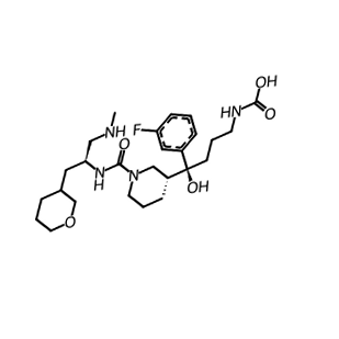 CNC[C@H](CC1CCCOC1)NC(=O)N1CCC[C@@H]([C@@](O)(CCCNC(=O)O)c2cccc(F)c2)C1